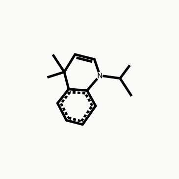 CC(C)N1C=CC(C)(C)c2ccccc21